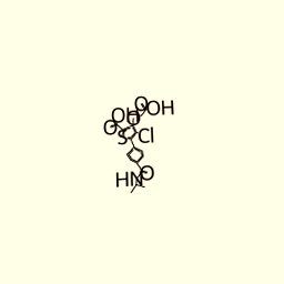 CC(C)NC(=O)c1ccc(-c2sc(C(=O)O)c(OCC(=O)O)c2Cl)cc1